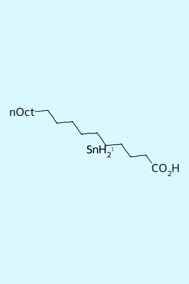 CCCCCCCCCCCCCCCCCC(=O)O.[SnH2]